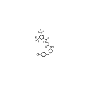 O=C(CNC(=O)c1cc(C(F)(F)F)cc(C(F)(F)F)c1)N[C@H]1CCN(Cc2ccc(Cl)cc2)C1